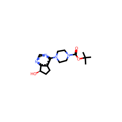 CC(C)(C)OC(=O)N1CCN(c2ncnc3c2CC[C@H]3O)CC1